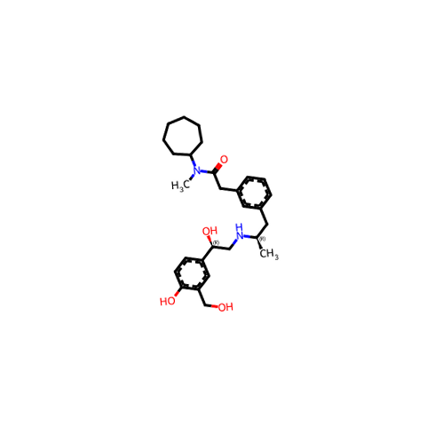 C[C@H](Cc1cccc(CC(=O)N(C)C2CCCCCC2)c1)NC[C@H](O)c1ccc(O)c(CO)c1